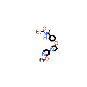 CCC(=O)N[C@@H](C)c1ccc(OC2CCN(c3ccnc(OC(C)C)c3)C2)cc1